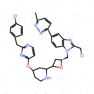 Cc1ccc(-c2ccc3c(c2)nc(CCl)n3C[C@@H]2CC(C3CC(Oc4ccnc(Cc5ccc(Cl)cc5)n4)CCN3)O2)nn1